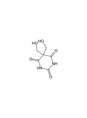 O=C1NC(=O)C(CO)(CO)C(=O)N1